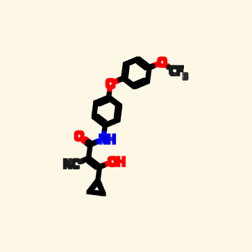 N#CC(C(=O)Nc1ccc(Oc2ccc(OC(F)(F)F)cc2)cc1)=C(O)C1CC1